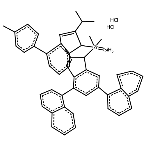 CC1=Cc2c(-c3cccc4ccccc34)cc(-c3cccc4ccccc34)cc2[CH]1[Zr]([CH3])([CH3])(=[SiH2])[CH]1C(C(C)C)=Cc2c(-c3ccc(C)cc3)cccc21.Cl.Cl